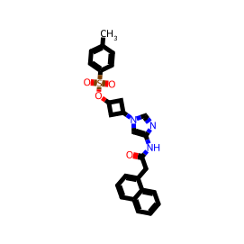 Cc1ccc(S(=O)(=O)OC2CC(n3cnc(NC(=O)Cc4cccc5ccccc45)c3)C2)cc1